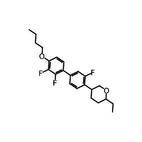 CCCCOc1ccc(-c2ccc(C3CCC(CC)OC3)c(F)c2)c(F)c1F